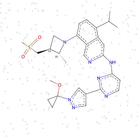 COC1(n2cc(-c3nccc(Nc4cc5c(C(C)C)ccc(N6C[C@H](CS(C)(=O)=O)[C@H]6C)c5cn4)n3)cn2)CC1